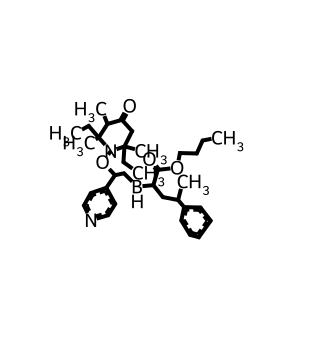 CCCCOC(=O)C(BCC(ON1C(C)(CC)CC(=O)C(C)C1(C)CC)c1ccncc1)CC(C)c1ccccc1